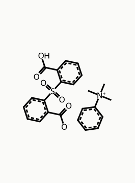 C[N+](C)(C)c1ccccc1.O=C([O-])c1ccccc1S(=O)(=O)c1ccccc1C(=O)O